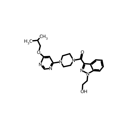 CC(C)COc1cc(N2CCN(C(=O)c3nn(CCO)c4ccccc34)CC2)ncn1